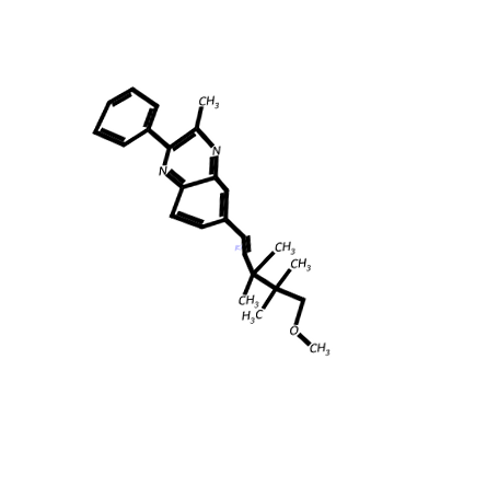 COCC(C)(C)C(C)(C)/C=C/c1ccc2nc(-c3ccccc3)c(C)nc2c1